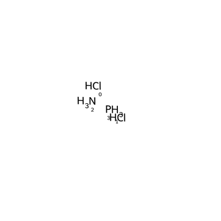 Cl.Cl.N.P